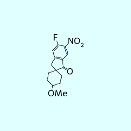 COC1CCC2(CC1)Cc1cc(F)c([N+](=O)[O-])cc1C2=O